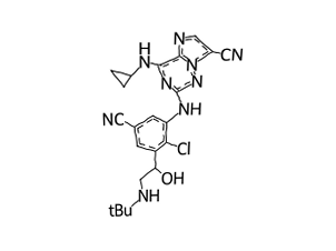 CC(C)(C)NCC(O)c1cc(C#N)cc(Nc2nc(NC3CC3)c3ncc(C#N)n3n2)c1Cl